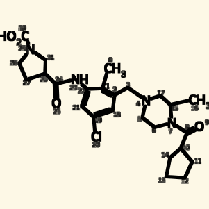 Cc1c(CN2CCN(C(=O)C3CCCC3)C(C)C2)cc(Cl)cc1NC(=O)C1CCN(C(=O)O)C1